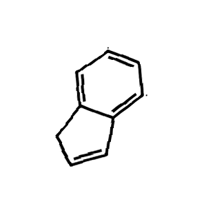 [c]1c[c]c2c(c1)CC=C2